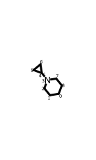 C1CCN([C]2CC2)CC1